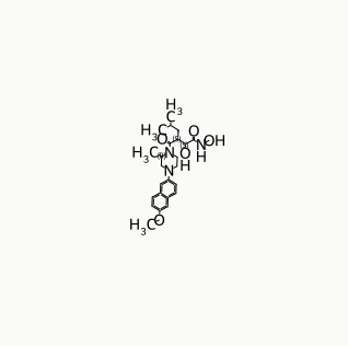 COc1ccc2cc(N3CCN(C(=O)[C@@H](CC(C)C)[C@H](O)C(=O)NO)[C@H](C)C3)ccc2c1